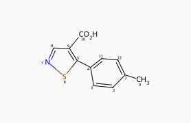 Cc1ccc(-c2sncc2C(=O)O)cc1